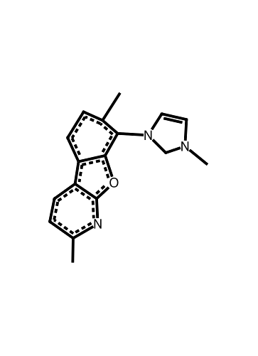 Cc1ccc2c(n1)oc1c(N3C=CN(C)C3)c(C)ccc12